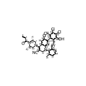 C=CC(=O)N1[C@H](C)CN(C2=C(C#N)CN(c3c(C)ccnc3C(C)C)c3nc(-c4c(F)c(O)c(Cl)c(Cl)c4Cl)c(Cl)cc32)C[C@@H]1C